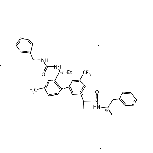 CC[C@@H](NC(=O)NCc1ccccc1)c1cc(C(F)(F)F)ccc1-c1cc(C(C)C(=O)N[C@H](C)Cc2ccccc2)cc(C(F)(F)F)c1